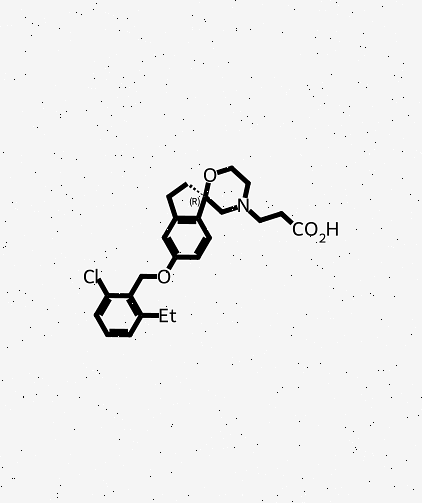 CCc1cccc(Cl)c1COc1ccc2c(c1)CC[C@]21CN(CCC(=O)O)CCO1